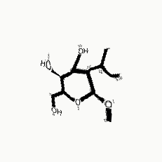 CO[C@H]1OC(CO)[C@@H](O)C(O)C1C(C)C